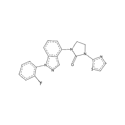 O=C1N(c2nccs2)CCN1c1cccc2c1cnn2-c1ccccc1F